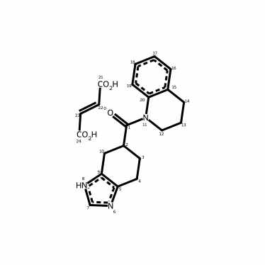 O=C(C1CCc2nc[nH]c2C1)N1CCCc2ccccc21.O=C(O)C=CC(=O)O